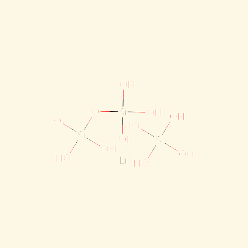 O[Si](O)(O)O.[Li+].[O-][Si](O)(O)O[Si](O)(O)O